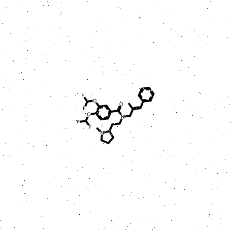 C/C(=C\c1ccccc1)CN(CCC1CCCN1C)C(=O)c1ccc(OC(F)F)c(OC(F)F)c1